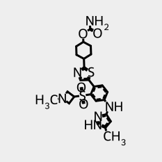 Cc1cc(Nc2ccc(-c3cnc(C4CCC(OC(N)=O)CC4)s3)c(S(=O)(=O)C3CN(C)C3)c2)n[nH]1